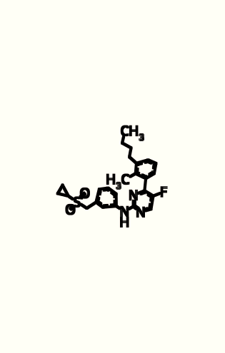 CCCCc1cccc(-c2nc(Nc3cccc(CS(=O)(=O)C4CC4)c3)ncc2F)c1C